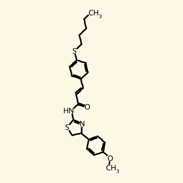 CCCCCSc1ccc(/C=C/C(=O)NC2=NC(c3ccc(OC)cc3)CS2)cc1